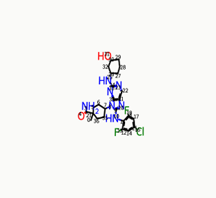 CC1(C(N)=O)CCC(n2c(Nc3c(F)cc(Cl)cc3F)nc3cnc(N[C@@H]4CCC[C@H](O)C4)nc32)CC1